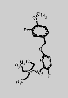 CC[Si](CC)(CC)Nc1nc(OCc2ccc(OC)c(F)c2)ncc1F